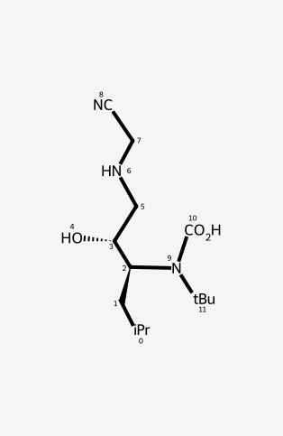 CC(C)C[C@@H]([C@H](O)CNCC#N)N(C(=O)O)C(C)(C)C